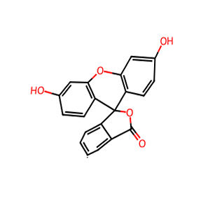 O=C1OC2(c3ccc(O)cc3Oc3cc(O)ccc32)c2cc[c]cc21